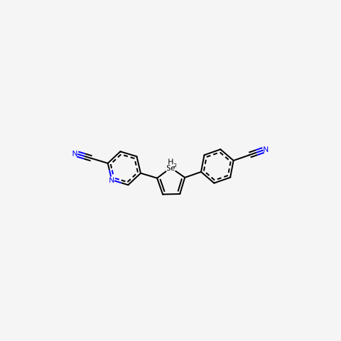 N#Cc1ccc(C2=CC=C(c3ccc(C#N)nc3)[SeH2]2)cc1